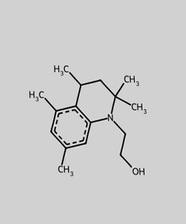 Cc1cc(C)c2c(c1)N(CCO)C(C)(C)CC2C